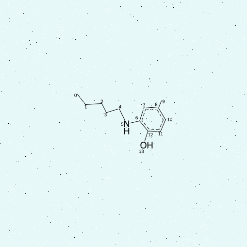 CCCCCNc1cc(C)ccc1O